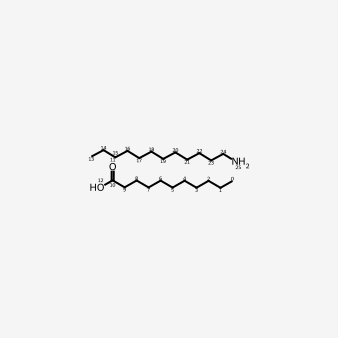 CCCCCCCCCCC(=O)O.CCCCCCCCCCCCN